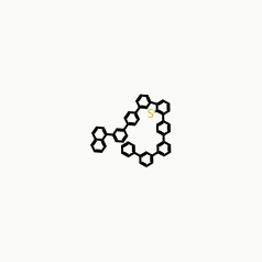 c1ccc(-c2cccc(-c3cccc(-c4ccc(-c5cccc6c5sc5c(-c7ccc(-c8cccc(-c9cccc%10ccccc9%10)c8)cc7)cccc56)cc4)c3)c2)cc1